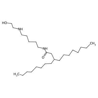 CCCCCCCCC(CCCCCCCC)CC(=O)NCCCCCNCCO